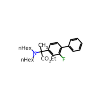 CCCCCCN(CCCCCC)C(C)(C(=O)OCC)c1ccc(-c2ccccc2)c(F)c1